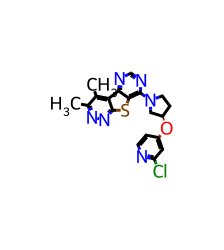 Cc1nnc2sc3c(N4CC[C@H](Oc5ccnc(Cl)c5)C4)ncnc3c2c1C